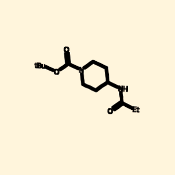 CCC(=O)NC1CCN(C(=O)OC(C)(C)C)CC1